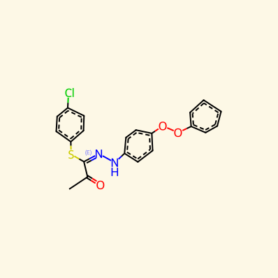 CC(=O)/C(=N\Nc1ccc(OOc2ccccc2)cc1)Sc1ccc(Cl)cc1